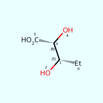 CC[C@H](O)[C@@H](O)C(=O)O